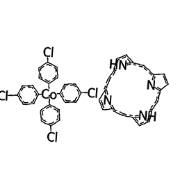 C1=Cc2cc3ccc(cc4nc(cc5ccc(cc1n2)[nH]5)C=C4)[nH]3.Clc1cc[c]([Co]([c]2ccc(Cl)cc2)([c]2ccc(Cl)cc2)[c]2ccc(Cl)cc2)cc1